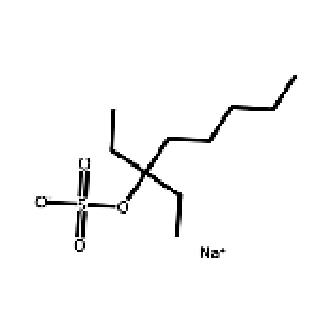 CCCCCC(CC)(CC)OS(=O)(=O)[O-].[Na+]